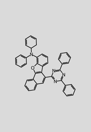 C1=CCC(N(c2ccccc2)c2cccc3c2oc2c4ccccc4cc(-c4nc(-c5ccccc5)nc(-c5ccccc5)n4)c32)C=C1